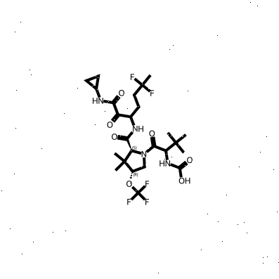 CC(F)(F)CCC(NC(=O)[C@H]1N(C(=O)C(NC(=O)O)C(C)(C)C)C[C@H](OC(F)(F)F)C1(C)C)C(=O)C(=O)NC1CC1